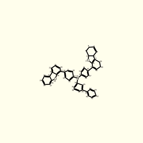 C1=CC2C3=C(OC2CC1)C(c1ccc(N(c2ccc(-c4cccc5c4oc4ccccc45)cc2)c2cccc(-c4ccccc4)c2)cc1)=CCC3